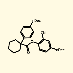 CCCCCCCCCCc1ccc(C2(C(=O)Oc3ccc(CCCCCCCCCC)cc3C#N)CCCCC2)cc1